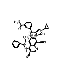 CC[C@@H](Nc1c(C#N)cnc2c(C#N)cc(N[C@H](C3=CN(C4CC4)NN3)c3cccc(C(N)=O)c3)cc12)c1ccccc1